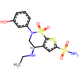 CCN[C@H]1CN(c2cccc(O)c2)S(=O)(=O)c2sc(S(N)(=O)=O)cc21